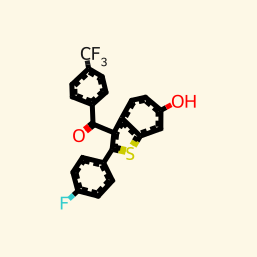 O=C(c1ccc(C(F)(F)F)cc1)c1c(-c2ccc(F)cc2)sc2cc(O)ccc12